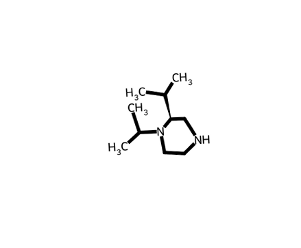 CC(C)[C@H]1CNCCN1C(C)C